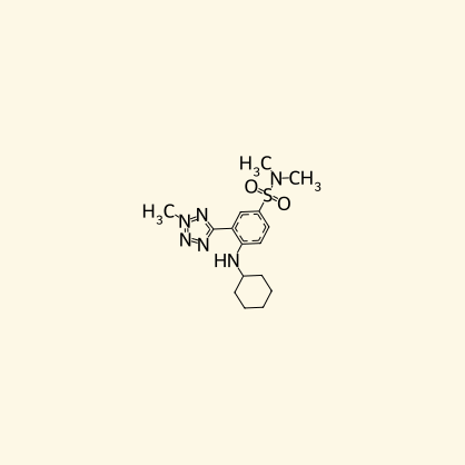 CN(C)S(=O)(=O)c1ccc(NC2CCCCC2)c(-c2nnn(C)n2)c1